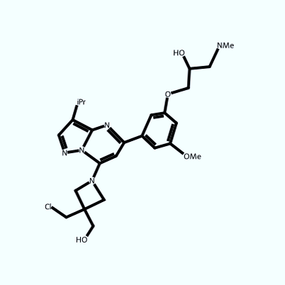 CNCC(O)COc1cc(OC)cc(-c2cc(N3CC(CO)(CCl)C3)n3ncc(C(C)C)c3n2)c1